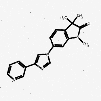 CN1C(=O)C(C)(C)c2ccc(-n3cnc(-c4cccnc4)c3)cc21